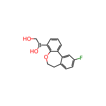 OCB(O)c1cccc2c1OCCc1ccc(F)cc1-2